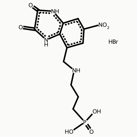 Br.O=c1[nH]c2cc([N+](=O)[O-])cc(CNCCCP(=O)(O)O)c2[nH]c1=O